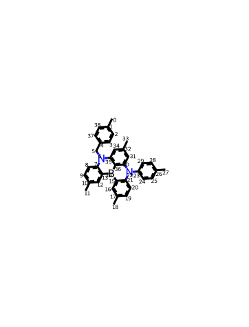 Cc1ccc(CN2c3ccc(C)cc3B3c4cc(C)ccc4N(c4ccc(C)cc4)c4cc(C)cc2c43)cc1